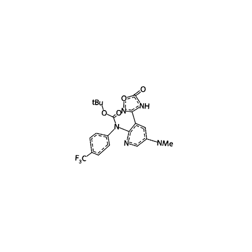 CNc1cnc(N(C(=O)OC(C)(C)C)c2ccc(C(F)(F)F)cc2)c(-c2noc(=O)[nH]2)c1